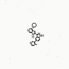 Cc1ccncc1-c1ccc2[nH]nc(-c3cc4c(N5CCCCC5)cncc4[nH]3)c2c1